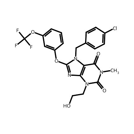 Cn1c(=O)c2c(nc(Oc3cccc(OC(F)(F)F)c3)n2Cc2ccc(Cl)cc2)n(CCO)c1=O